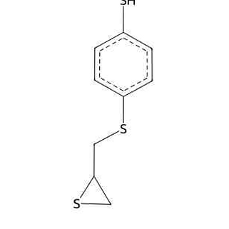 Sc1ccc(SCC2CS2)cc1